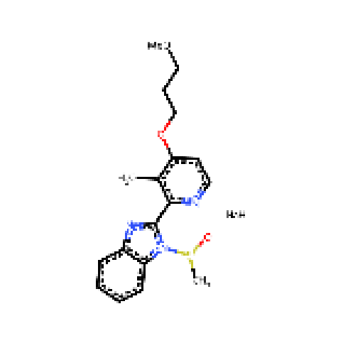 COCCCOc1ccnc(-c2nc3ccccc3n2[S+](C)[O-])c1C.[NaH]